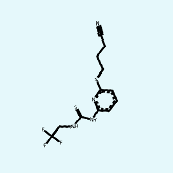 N#CCCCSc1cccc(NC(=S)NCC(F)(F)F)n1